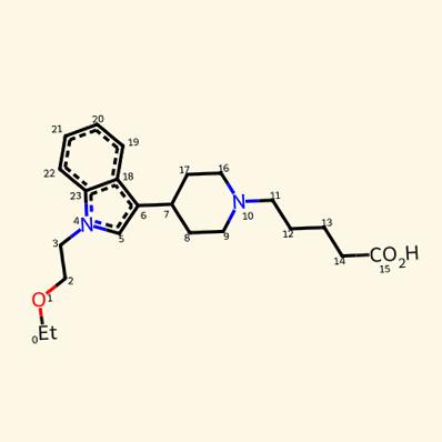 CCOCCn1cc(C2CCN(CCCCC(=O)O)CC2)c2ccccc21